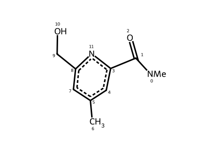 CNC(=O)c1cc(C)cc(CO)n1